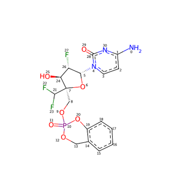 Nc1ccn([C@@H]2O[C@@](COP3(=O)OCc4ccccc4O3)(C(F)F)[C@@H](O)[C@@H]2F)c(=O)n1